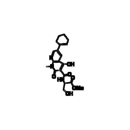 COC(=O)C(CO)NC(=O)c1c(O)c2cc(C3=CCCCC3)cnc2n(C)c1=O